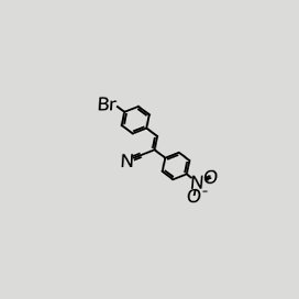 N#CC(=Cc1ccc(Br)cc1)c1ccc([N+](=O)[O-])cc1